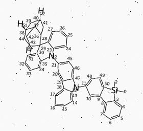 C[Si]1(C)c2ccccc2-c2cc(-n3c4ccccc4c4cc(N5c6ccccc6C6(c7ccccc75)C5C[C@H]7C[C@@H](C5)C[C@@H]6C7)ccc43)ccc21